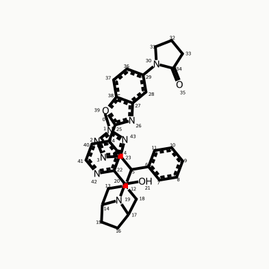 Cn1nnc(C(c2ccccc2)N2CC3CCC(C2)N3C(O)c2cc(-c3nc4cc(N5CCCC5=O)ccc4o3)ccn2)n1